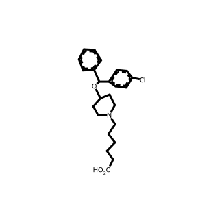 O=C(O)CCCCCN1CCC(OC(c2ccccc2)c2ccc(Cl)cc2)CC1